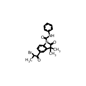 CC(Br)C(=O)c1ccc2c(c1)C(C)(C)C(=O)N2C(=O)Nc1ccccc1